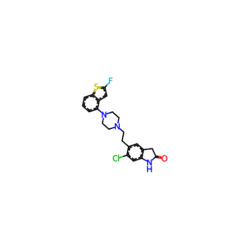 O=C1Cc2cc(CCN3CCN(c4cccc5sc(F)cc45)CC3)c(Cl)cc2N1